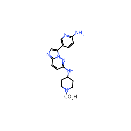 Nc1ccc(-c2cnc3ccc(NC4CCN(C(=O)O)CC4)nn23)cn1